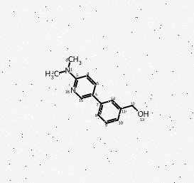 CN(C)c1ccc(-c2cccc(CO)c2)cn1